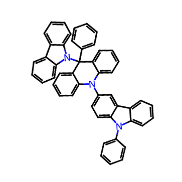 c1ccc(-n2c3ccccc3c3cc(N4c5ccccc5C(c5ccccc5)(n5c6ccccc6c6ccccc65)c5ccccc54)ccc32)cc1